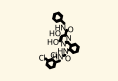 O=C(NCc1cccc(Cl)c1Cl)Nc1ccccc1-c1nc(O)c(O)c(C(=O)NCc2ccccc2)n1